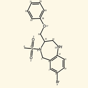 CS(=O)(=O)N1Cc2cc(Br)ccc2NCC1COc1ccccc1